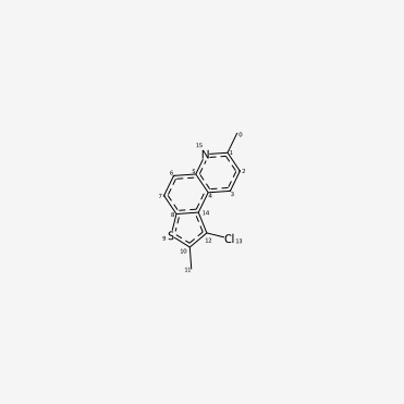 Cc1ccc2c(ccc3sc(C)c(Cl)c32)n1